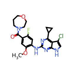 COc1cc(C(=O)N2CCCOCC2)c(F)cc1Nc1nc(C2CC2)c2c(Cl)c[nH]c2n1